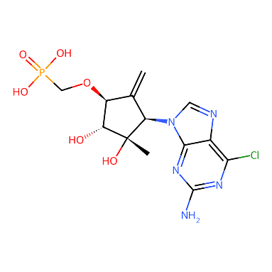 C=C1[C@H](OCP(=O)(O)O)[C@@H](O)[C@@](C)(O)[C@@H]1n1cnc2c(Cl)nc(N)nc21